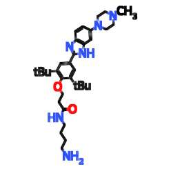 CN1CCN(c2ccc3nc(-c4cc(C(C)(C)C)c(OCCC(=O)NCCCCN)c(C(C)(C)C)c4)[nH]c3c2)CC1